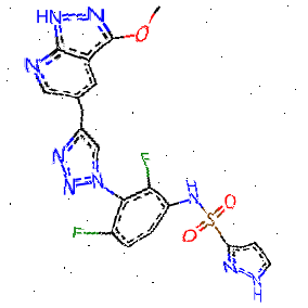 COc1n[nH]c2ncc(-c3cn(-c4c(F)ccc(NS(=O)(=O)c5cc[nH]n5)c4F)nn3)cc12